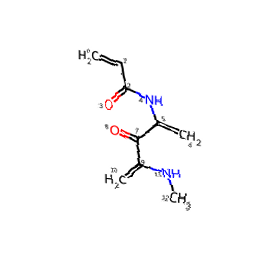 C=CC(=O)NC(=C)C(=O)C(=C)NC